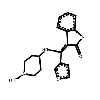 CN1CCC(NC(=C2C(=O)Nc3ccccc32)c2ccoc2)CC1